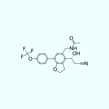 CC(=O)NCc1cc(-c2ccc(OC(F)(F)F)cc2)c2c(c1[C@H](O)CC#N)CCO2